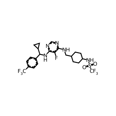 O=S(=O)(NC1CCC(CNc2ncnc(NC(c3ccc(C(F)(F)F)cc3)C3CC3)c2F)CC1)C(F)(F)F